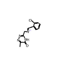 Cc1nnc(C/N=C/c2ccccc2Cl)[nH]c1=O